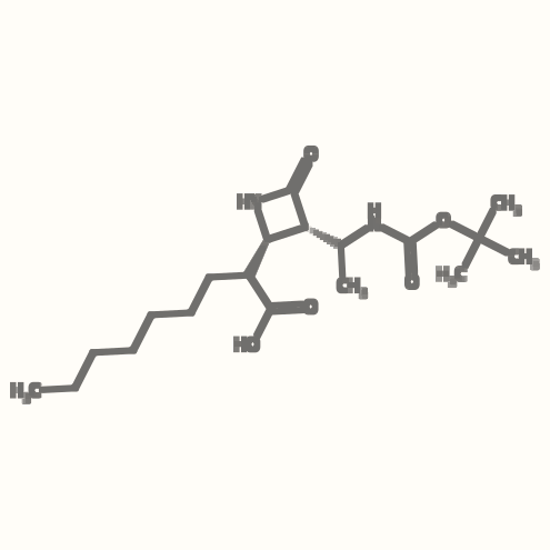 CCCCCCCC(C(=O)O)[C@H]1NC(=O)[C@@H]1C(C)NC(=O)OC(C)(C)C